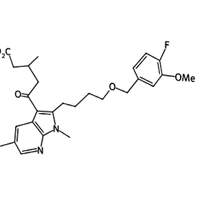 COc1cc(COCCCCc2c(C(=O)CC(C)CC(=O)O)c3cc(C#N)cnc3n2C)ccc1F